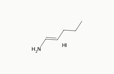 CCCC=CN.I